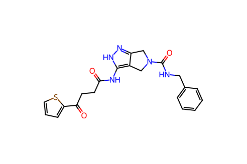 O=C(CCC(=O)c1cccs1)Nc1[nH]nc2c1CN(C(=O)NCc1ccccc1)C2